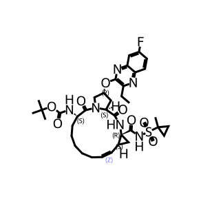 CCc1nc2ccc(F)cc2nc1O[C@@H]1C[C@H]2C(=O)N[C@]3(C(=O)NS(=O)(=O)C4(C)CC4)C[C@H]3/C=C\CCCCC[C@H](NC(=O)OC(C)(C)C)C(=O)N2C1